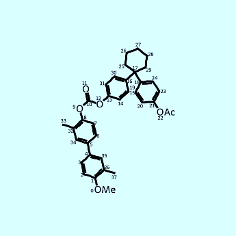 COc1ccc(-c2ccc(OC(=O)Oc3ccc(C4(c5ccc(OC(C)=O)cc5)CCCCC4)cc3)c(C)c2)cc1C